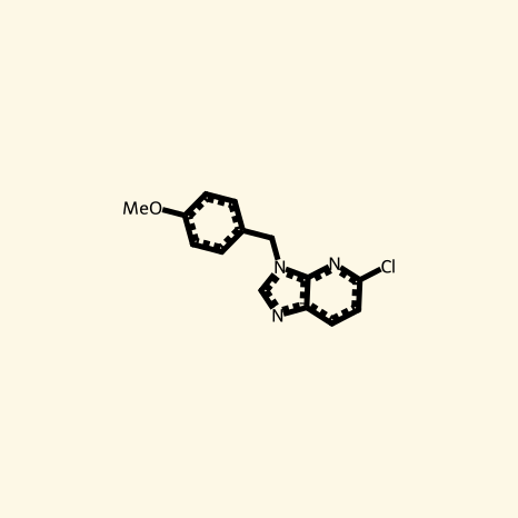 COc1ccc(Cn2cnc3ccc(Cl)nc32)cc1